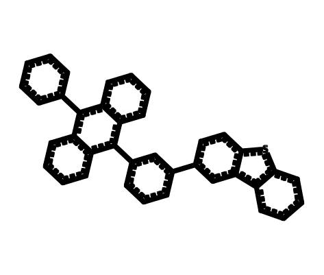 c1ccc(-c2c3ccccc3c(-c3cccc(-c4ccc5sc6ccccc6c5c4)c3)c3ccccc23)cc1